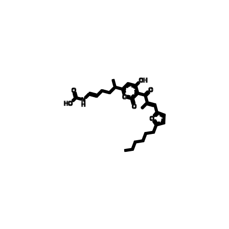 CCCCCCc1ccc(/C=C(\C)C(=O)c2c(O)cc(C(C)CCC=CNC(=O)O)oc2=O)o1